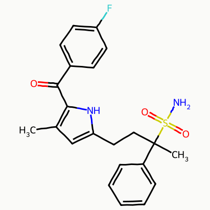 Cc1cc(CCC(C)(c2ccccc2)S(N)(=O)=O)[nH]c1C(=O)c1ccc(F)cc1